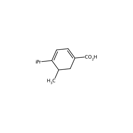 CC(C)C1=CC=C(C(=O)O)CC1C